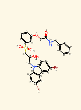 O=C(COc1cccc(S(=O)(=O)CC(O)Cn2c3ccc(Br)cc3c3cc(Br)ccc32)c1)NCc1ccccc1